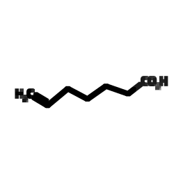 C=CCCCCC(=O)O